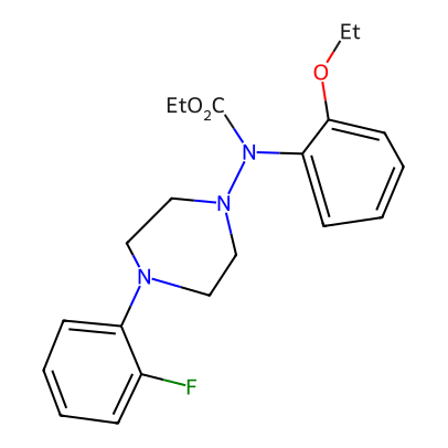 CCOC(=O)N(c1ccccc1OCC)N1CCN(c2ccccc2F)CC1